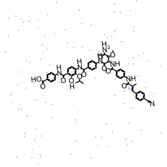 CO[C@@H](C(N)=O)[C@H](NC(=O)c1ccc(NC(=O)/C(C)=C/c2ccc(C#N)cc2)cc1)C(=O)Nc1ccc(C(=O)Nc2ccc(C(=O)Nc3ccc(C(=O)O)cc3)c(O)c2OC(C)C)cc1